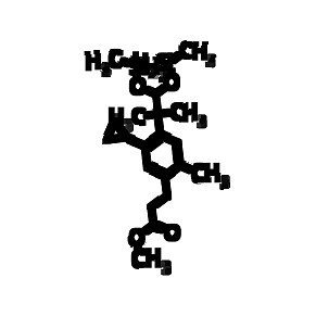 COC(=O)CCc1cc(C2CC2)c(C(C)(C)C(O[SiH2]C)O[SiH2]C)cc1C